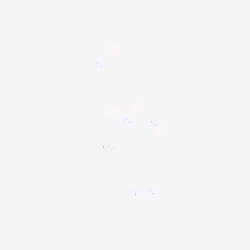 CCc1nc2cc(S(=O)(=O)Nc3noc4cc(Cn5cccn5)cc(OC)c34)ccc2o1